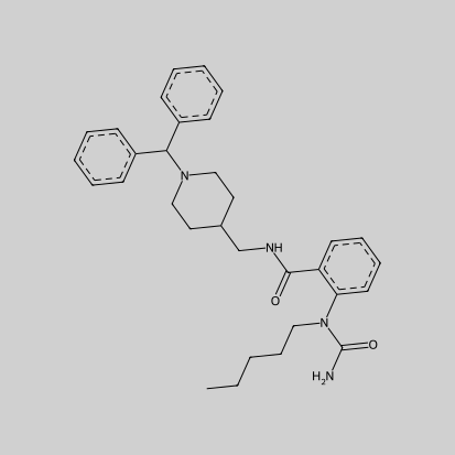 CCCCCN(C(N)=O)c1ccccc1C(=O)NCC1CCN(C(c2ccccc2)c2ccccc2)CC1